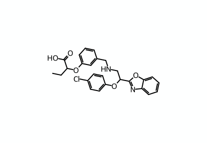 CCC(Oc1cccc(CNCC(Oc2ccc(Cl)cc2)c2nc3ccccc3o2)c1)C(=O)O